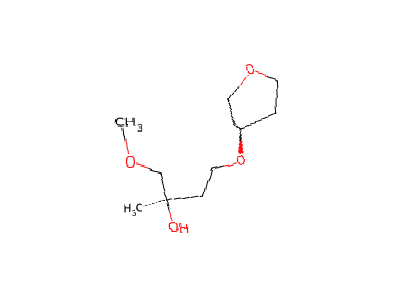 COCC(C)(O)CCO[C@@H]1CCOC1